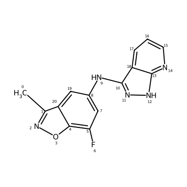 Cc1noc2c(F)cc(Nc3n[nH]c4ncccc34)cc12